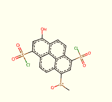 C[S+]([O-])c1cc(S(=O)(=O)Cl)c2ccc3c(O)cc(S(=O)(=O)Cl)c4ccc1c2c34